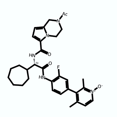 CC(=O)N1CCn2c(ccc2C(=O)N[C@H](C(=O)Nc2ccc(-c3c(C)cc[n+]([O-])c3C)cc2F)C2CCCCCC2)C1